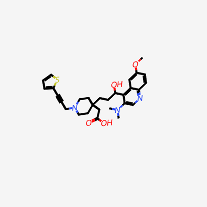 COc1ccc2ncc(N(C)C)c(C(O)CCC3(CC(=O)O)CCN(CC#Cc4cccs4)CC3)c2c1